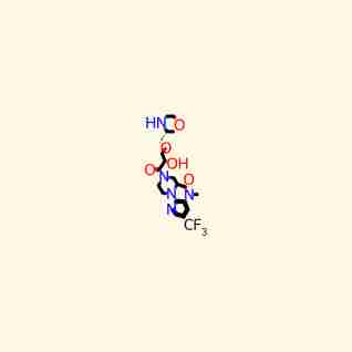 CN1C(=O)C2CN(C(=O)C(O)COC[C@H]3COCCN3)CCN2c2ncc(C(F)(F)F)cc21